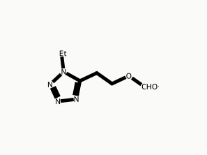 CCn1nnnc1CCO[C]=O